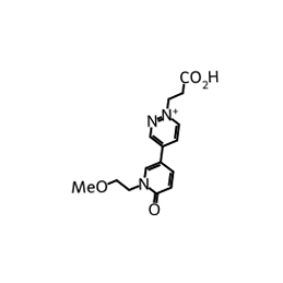 COCCn1cc(-c2cc[n+](CCC(=O)O)nc2)ccc1=O